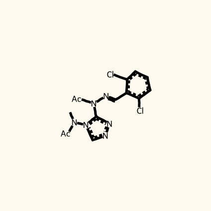 CC(=O)N(N=Cc1c(Cl)cccc1Cl)c1nncn1N(C)C(C)=O